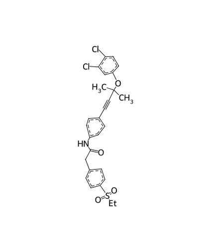 CCS(=O)(=O)c1ccc(CC(=O)Nc2ccc(C#CC(C)(C)Oc3ccc(Cl)c(Cl)c3)cc2)cc1